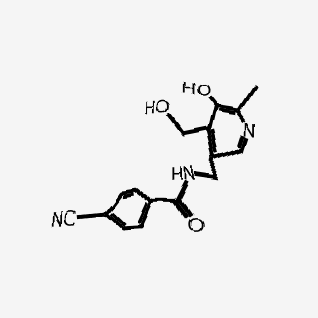 Cc1ncc(CNC(=O)c2ccc(C#N)cc2)c(CO)c1O